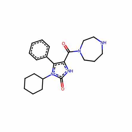 O=C(c1[nH]c(=O)n(C2CCCCC2)c1-c1ccccc1)N1CCCNCC1